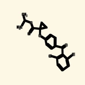 CC(C)OC(=O)C1(Oc2ccc(C(=O)c3c(Cl)cccc3Cl)cc2)CC1